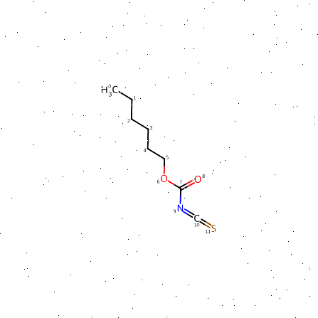 CCCCCCOC(=O)N=C=S